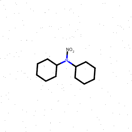 O=[N+]([O-])N(C1CCCCC1)C1CCCCC1